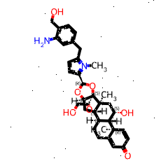 Cn1c(Cc2ccc(CO)c(N)c2)ccc1[C@@H]1O[C@@H]2C[C@H]3[C@@H]4CCC5=CC(=O)C=C[C@]5(C)[C@H]4[C@@H](O)C[C@]3(C)[C@]2(C(=O)CO)O1